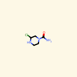 NC(=O)N1CCNC(Cl)C1